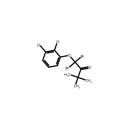 CC(C)(C)C(=O)C(Br)(Br)Oc1cccc(Cl)c1Cl